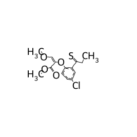 CCC(=S)c1cc(Cl)ccc1OC(=COC)C(=O)OC